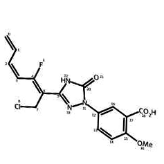 C=C/C=C\C(F)=C(/CCl)c1nn(-c2ccc(OC)c(C(=O)O)c2)c(=O)[nH]1